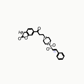 O=C(CCN1CCN(S(=O)(=O)/C=C/c2ccccc2)CC1)c1ccc2[nH]c(=O)oc2c1